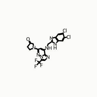 O=C1CCN(c2cc(NCc3nc4cc(Cl)c(Cl)cc4[nH]3)c3ncc(C(F)(F)F)n3n2)C1